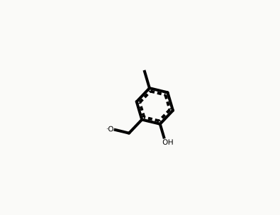 Cc1ccc(O)c(C[O])c1